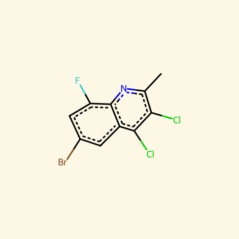 Cc1nc2c(F)cc(Br)cc2c(Cl)c1Cl